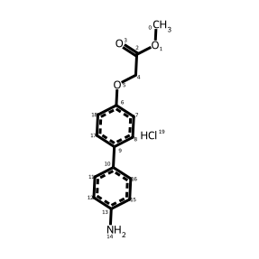 COC(=O)COc1ccc(-c2ccc(N)cc2)cc1.Cl